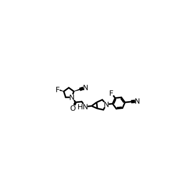 N#Cc1ccc(N2CC3C(C2)C3NCC(=O)N2C[C@@H](F)C[C@H]2C#N)c(F)c1